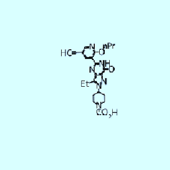 C#Cc1cnc(OCCC)c(-c2nc3c(CC)n(C4CCN(C(=O)O)CC4)nc3c(=O)[nH]2)c1